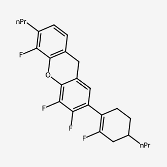 CCCc1ccc2c(c1F)Oc1c(cc(C3=C(F)CC(CCC)CC3)c(F)c1F)C2